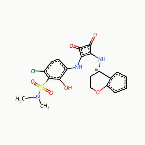 CN(C)S(=O)(=O)c1c(Cl)ccc(Nc2c(N[C@H]3CCOc4ccccc43)c(=O)c2=O)c1O